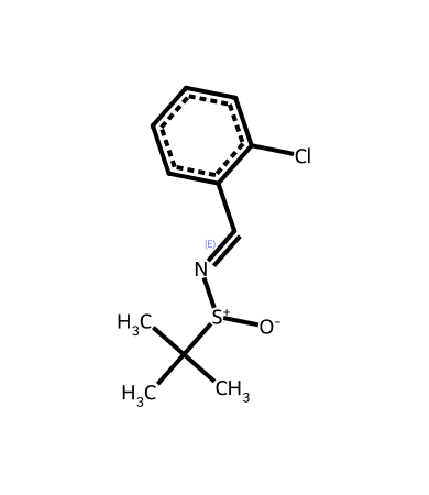 CC(C)(C)[S+]([O-])/N=C/c1ccccc1Cl